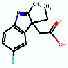 CCC1(CC(=O)O)C(C)=Nc2ccc(F)cc21